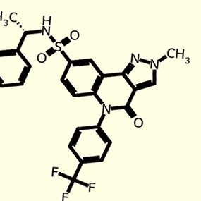 C[C@H](NS(=O)(=O)c1ccc2c(c1)c1nn(C)cc1c(=O)n2-c1ccc(C(F)(F)F)cc1)c1ccccc1